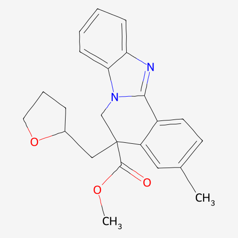 COC(=O)C1(CC2CCCO2)Cn2c(nc3ccccc32)-c2ccc(C)cc21